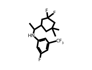 CC(Nc1cc(F)cc(C(F)(F)F)c1)C1CC(C)(C)CC(F)(F)C1